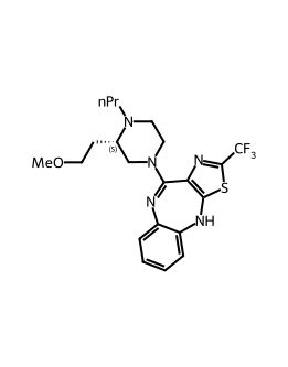 CCCN1CCN(C2=Nc3ccccc3Nc3sc(C(F)(F)F)nc32)C[C@@H]1CCOC